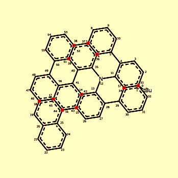 CC(C)(C)c1ccc(-c2ccccc2)c(N(c2cc(-c3cccc4ccccc34)ccc2-c2ccccc2)c2ccccc2-c2cccc3cccc(-c4ccccc4)c23)c1